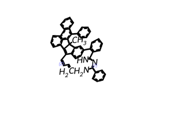 C=C/C=C\C1=C2c3cccc4c3c(c(-c3ccccc3)c3ccccc34)C2(C)c2cc(-c3ccccc3C(=N)/N=C(\N)c3ccccc3)ccc21